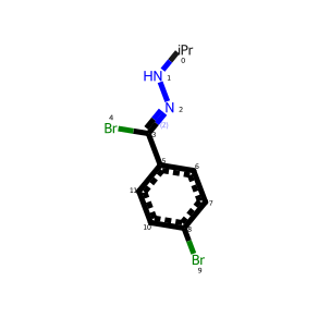 CC(C)N/N=C(\Br)c1ccc(Br)cc1